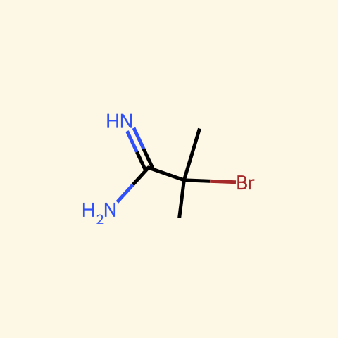 CC(C)(Br)C(=N)N